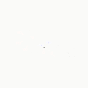 CSC1O[C@H]([C@H](NC(=O)[C@H]2NC[C@@H]3C[C@@H](c4ccc(C)cc4)CCO[C@H]32)[C@H](C)Cl)C(O)C(O)[C@H]1O